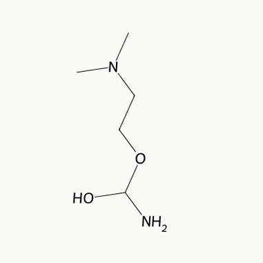 CN(C)CCOC(N)O